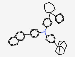 c1ccc(C2(c3ccc(N(c4ccc(-c5ccc6ccccc6c5)cc4)c4ccc(C56CC7CC(CC(C7)C5)C6)cc4)cc3)CCCCCC2)cc1